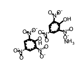 N.O=[N+]([O-])c1cc([N+](=O)[O-])c(O)c([N+](=O)[O-])c1.O=[N+]([O-])c1cc([N+](=O)[O-])c(O)c([N+](=O)[O-])c1